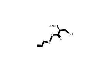 C=CCSOC(=O)[C@H](CS)NC(C)=O